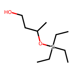 CC[Si](CC)(CC)OC(C)CCO